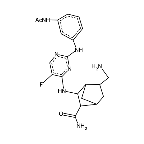 CC(=O)Nc1cccc(Nc2ncc(F)c(NC3C4CC(CC4CN)C3C(N)=O)n2)c1